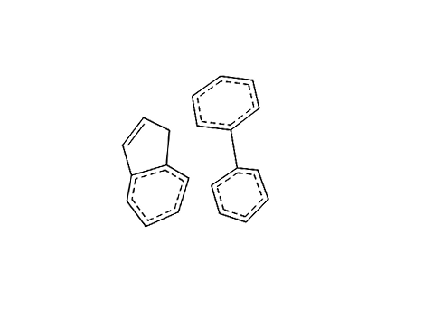 C1=Cc2ccccc2C1.c1ccc(-c2ccccc2)cc1